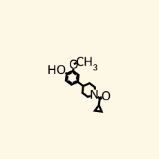 COc1cc(C2CCN(C(=O)C3CC3)CC2)ccc1O